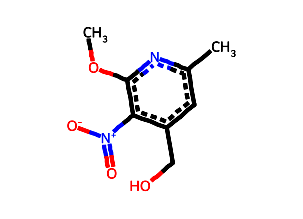 COc1nc(C)cc(CO)c1[N+](=O)[O-]